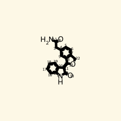 NC(=O)Cc1ccc2c(c1)/C(=C1/C(=O)Nc3ccccc31)OC2